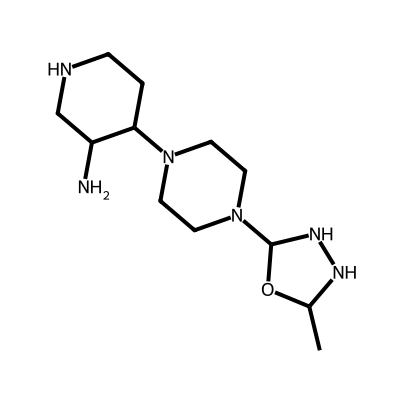 CC1NNC(N2CCN(C3CCNCC3N)CC2)O1